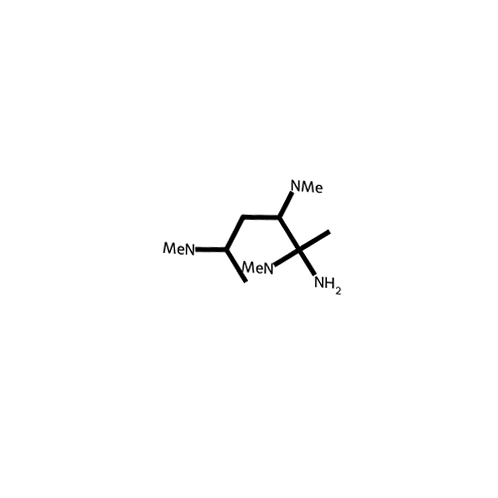 CNC(C)CC(NC)C(C)(N)NC